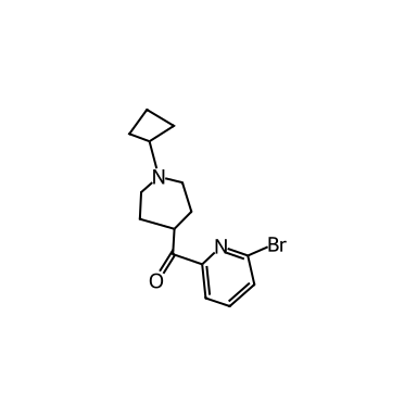 O=C(c1cccc(Br)n1)C1CCN(C2CCC2)CC1